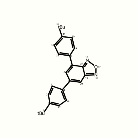 CC(C)(C)c1ccc(-c2cc(-c3ccc(C(C)(C)C)cc3)c3nonc3c2)cc1